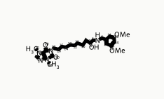 COc1cc(CNCC(O)CCCCCCCCCn2c(=O)c3c(ncn3C)n(C)c2=O)cc(OC)c1